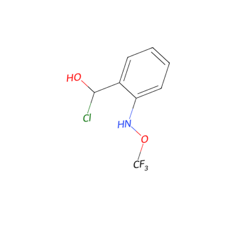 OC(Cl)c1ccccc1NOC(F)(F)F